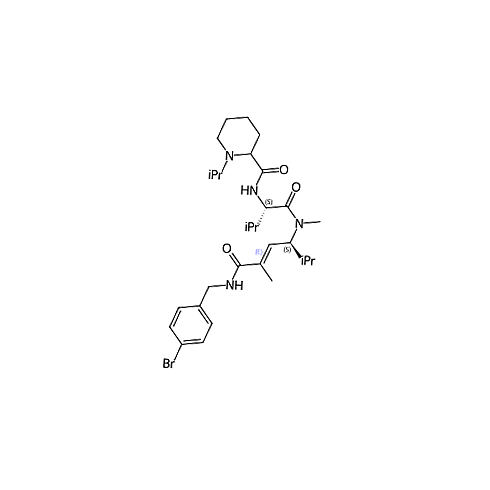 C/C(=C\[C@H](C(C)C)N(C)C(=O)[C@@H](NC(=O)C1CCCCN1C(C)C)C(C)C)C(=O)NCc1ccc(Br)cc1